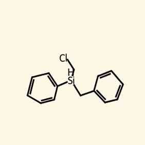 ClC[SiH](Cc1ccccc1)c1ccccc1